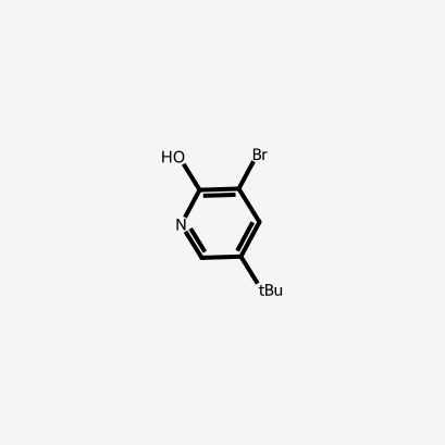 CC(C)(C)c1cnc(O)c(Br)c1